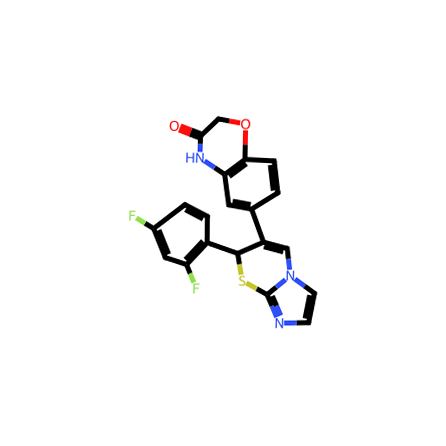 O=C1COc2ccc(C3=Cn4ccnc4SC3c3ccc(F)cc3F)cc2N1